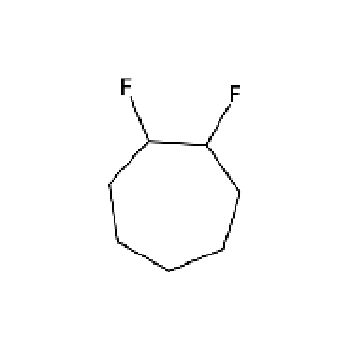 FC1CCCCCC1F